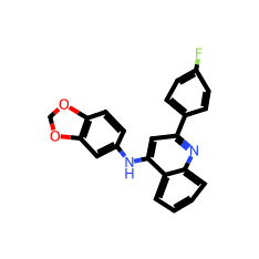 Fc1ccc(-c2cc(Nc3ccc4c(c3)OCO4)c3ccccc3n2)cc1